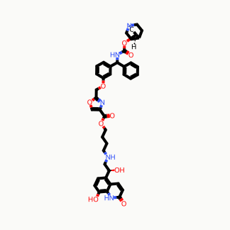 O=C(NC(c1ccccc1)c1cccc(OCc2nc(C(=O)OCCCCNC[C@@H](O)c3ccc(O)c4[nH]c(=O)ccc34)co2)c1)O[C@H]1CN2CCC1CC2